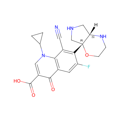 N#Cc1c([C@@]23CNC[C@@H]2NCCO3)c(F)cc2c(=O)c(C(=O)O)cn(C3CC3)c12